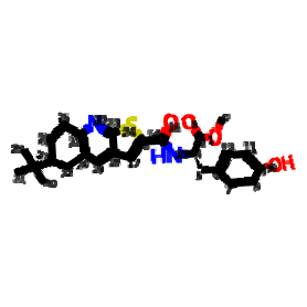 COC(=O)[C@H](Cc1ccc(O)cc1)NC(=O)c1cc2cc3c(nc2s1)CCC(C(C)(C)C)C3